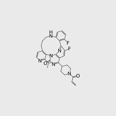 C=CC(=O)N1CCC(c2nc(=O)n3c4nc(c(F)cc24)-c2c(F)cccc2NCCCc2ccnc(C(C)C)c2-3)CC1